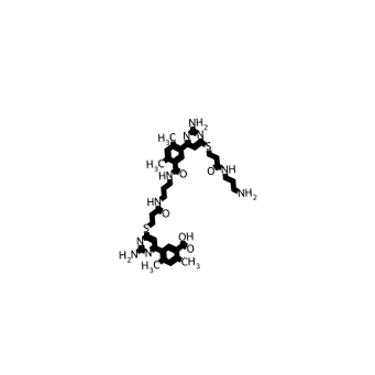 Cc1cc(C)c(-c2cc(SCCC(=O)NCCCNC(=O)c3cc(-c4cc(SCCC(=O)NCCCN)nc(N)n4)c(C)cc3C)nc(N)n2)cc1C(=O)O